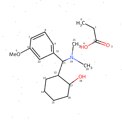 CCC(=O)O.COc1cccc(C(C2CCCCC2O)N(C)C)c1